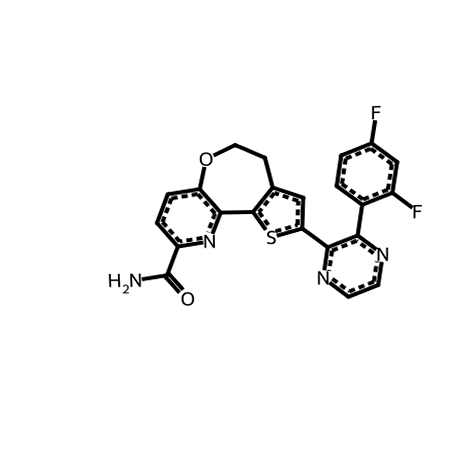 NC(=O)c1ccc2c(n1)-c1sc(-c3nccnc3-c3ccc(F)cc3F)cc1CCO2